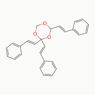 C(=CC1OCOC(C=Cc2ccccc2)(C=Cc2ccccc2)O1)c1ccccc1